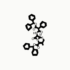 CC1=C(C(=O)OC(c2ccccc2)c2ccccc2)N2C(=O)C(NC(=O)C(C(=O)OC(c3ccccc3)c3ccccc3)c3ccccc3)[C@@H]2SC1